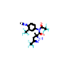 [C-]#[N+]c1ccc(N(C(=O)C(F)(F)F)C(=O)C2(C)CC(C(F)(F)F)=NN2)cc1C(F)(F)F